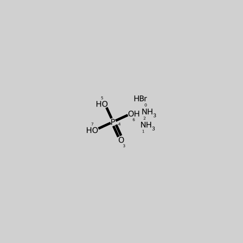 Br.N.N.O=P(O)(O)O